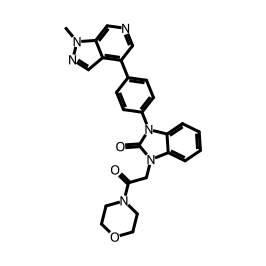 Cn1ncc2c(-c3ccc(-n4c(=O)n(CC(=O)N5CCOCC5)c5ccccc54)cc3)cncc21